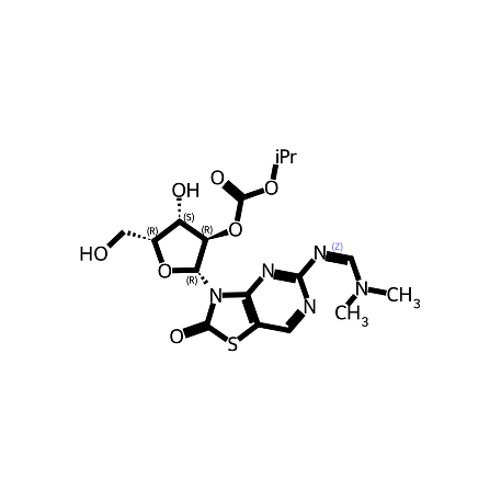 CC(C)OC(=O)O[C@@H]1[C@@H](O)[C@@H](CO)O[C@H]1n1c(=O)sc2cnc(/N=C\N(C)C)nc21